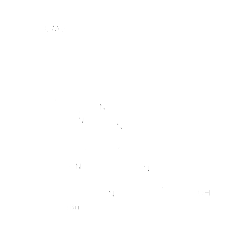 COc1ccc(Cn2nnc3c(N4CCC(O)C4)nc(C(C)(C)C)nc32)cc1